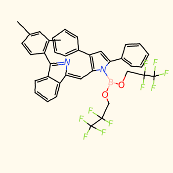 Cc1ccc(C2=N/C(=C\c3c(-c4ccccc4)cc(-c4ccccc4)n3B(OCC(F)(F)C(F)(F)F)OCC(F)(F)C(F)(F)F)c3ccccc32)c(C)c1